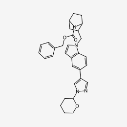 O=C(OCc1ccccc1)N1C2CCC1C(Cn1ccc3cc(-c4cnn(C5CCCCO5)c4)ccc31)C2